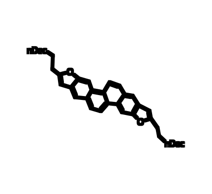 CCCCCCCCCCCCc1cc2cc3ccc4c5cc6oc(CCCCCCCCCCCC)cc6cc5ccc4c3cc2o1